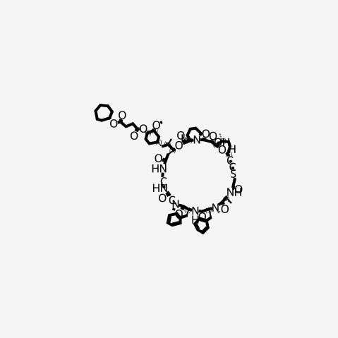 CO[C@@H]1C[C@H](C[C@@H](C)[C@@H]2CC(=O)NCCNC(=O)CN(C)C(=O)[C@H](Cc3ccccc3)NC(=O)[C@H](Cc3ccccc3)N(C)C(=O)[C@H](C)NC(=O)CSCC[C@@H]3CC[C@@H](C)[C@@](O)(O3)C(=O)C(=O)N3CCCC[C@H]3C(=O)O2)CC[C@H]1OC(=O)CCC(=O)OC1CCCCCC1